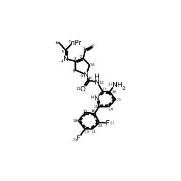 C=CC1=C(/N=C(/C)CCC)CN(C(=O)Nc2nc(-c3ccc(F)cc3F)ccc2N)C1